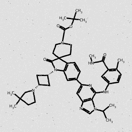 CNC(=O)c1cc(Nc2nc(-c3ccc4c(c3)N([C@H]3C[C@@H](N5CCC(C)(C)C5)C3)C(=O)C43CCN(C(=O)OC(C)(C)C)CC3)cc3ncn(C(C)C)c23)ccc1C